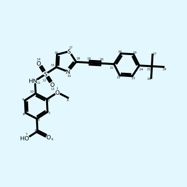 COc1cc(C(=O)O)ccc1NS(=O)(=O)c1csc(C#Cc2ccc(C(C)(C)C)cc2)n1